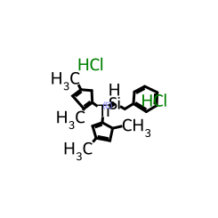 CC1=CC(C)[C](/[Ti](=[SiH]\Cc2ccccc2)[C]2=C(C)C=C(C)C2)=C1.Cl.Cl